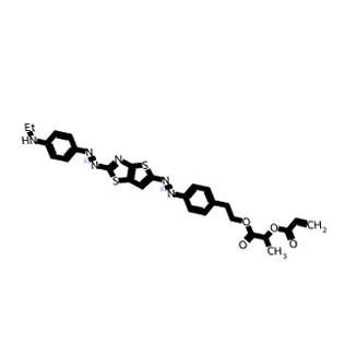 C=CC(=O)OC(C)C(=O)OCCc1ccc(/N=N/c2cc3sc(/N=N/c4ccc(NCC)cc4)nc3s2)cc1